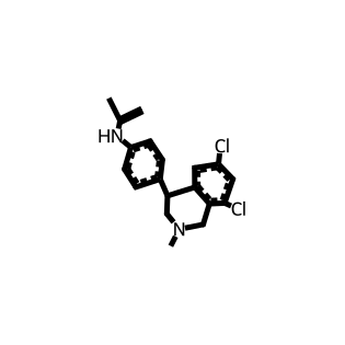 C=C(C)Nc1ccc(C2CN(C)Cc3c(Cl)cc(Cl)cc32)cc1